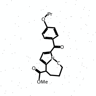 COC(=O)C1CCCCn2c(C(=O)c3ccc(OC(C)C)cc3)ccc21